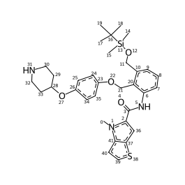 Cn1c(C(=O)Nc2cccc(CO[Si](C)(C)C(C)(C)C)c2COc2ccc(OC3CCNCC3)cc2)cc2sccc21